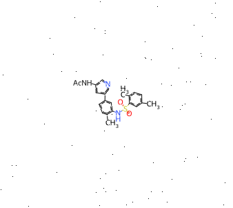 CC(=O)Nc1cncc(-c2ccc(C)c(NS(=O)(=O)c3cc(C)ccc3C)c2)c1